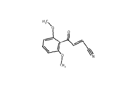 COc1cccc(OC)c1C(=O)C=CC#N